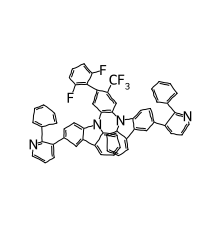 Fc1cccc(F)c1-c1cc(-n2c3ccccc3c3cc(-c4cccnc4-c4ccccc4)ccc32)c(-n2c3ccccc3c3cc(-c4cccnc4-c4ccccc4)ccc32)cc1C(F)(F)F